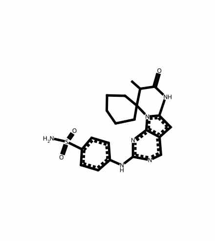 CC1C(=O)Nc2cc3cnc(Nc4ccc(S(N)(=O)=O)cc4)nc3n2C12CCCCC2